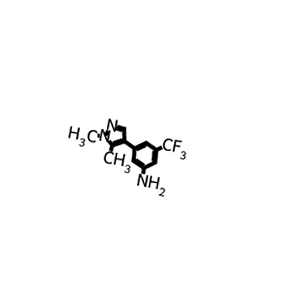 Cc1c(-c2cc(N)cc(C(F)(F)F)c2)cnn1C